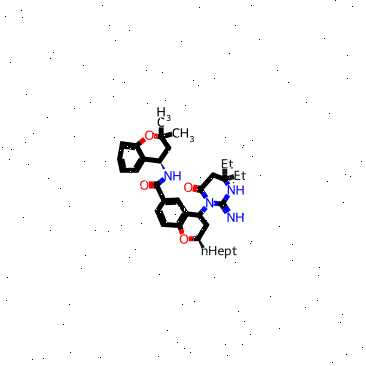 CCCCCCC[C@@H]1CC(N2C(=N)NC(CC)(CC)CC2=O)c2cc(C(=O)N[C@H]3CC(C)(C)Oc4ccccc43)ccc2O1